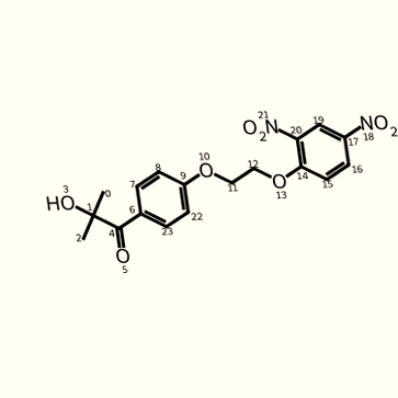 CC(C)(O)C(=O)c1ccc(OCCOc2ccc([N+](=O)[O-])cc2[N+](=O)[O-])cc1